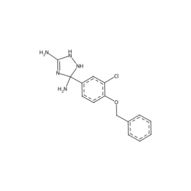 NC1=NC(N)(c2ccc(OCc3ccccc3)c(Cl)c2)NN1